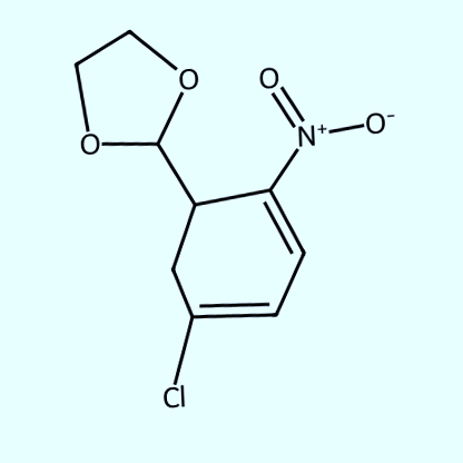 O=[N+]([O-])C1=CC=C(Cl)CC1C1OCCO1